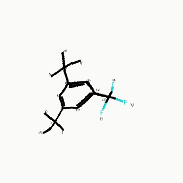 CC(C)(C)c1cc(C(C)(C)C)cc(C(F)(F)F)c1